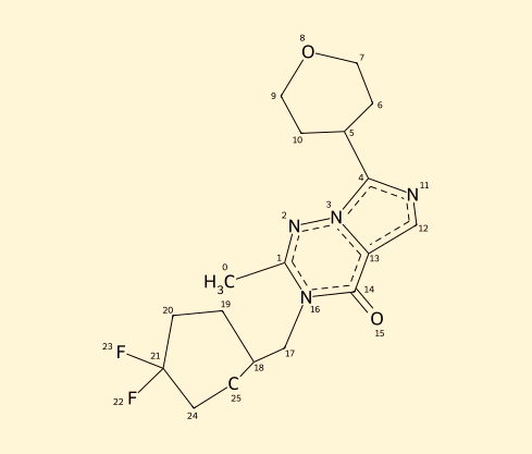 Cc1nn2c(C3CCOCC3)ncc2c(=O)n1CC1CCC(F)(F)CC1